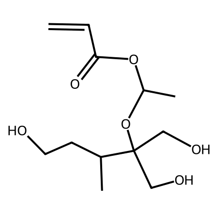 C=CC(=O)OC(C)OC(CO)(CO)C(C)CCO